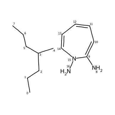 CCCC(C)CCC.NC1=CC=CC=CN1N